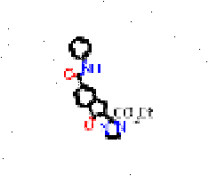 CCOC(=O)C1(C2Cc3cc(C(=O)Nc4ccccc4)ccc3C2=O)N=CC=N1